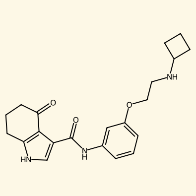 O=C(Nc1cccc(OCCNC2CCC2)c1)c1c[nH]c2c1C(=O)CCC2